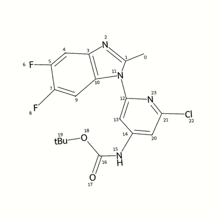 Cc1nc2cc(F)c(F)cc2n1-c1cc(NC(=O)OC(C)(C)C)cc(Cl)n1